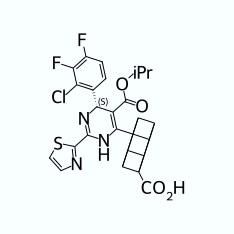 CC(C)OC(=O)C1=C(C23C4C5C2C2C3C4C52C(=O)O)NC(c2nccs2)=N[C@@H]1c1ccc(F)c(F)c1Cl